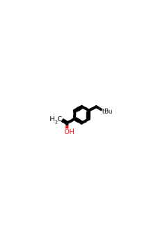 C=C(O)c1ccc(CC(C)(C)C)cc1